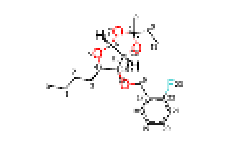 CCCC[C@H]1O[C@@H]2OC(C)(CC)O[C@@H]2[C@H]1OCc1ccccc1F